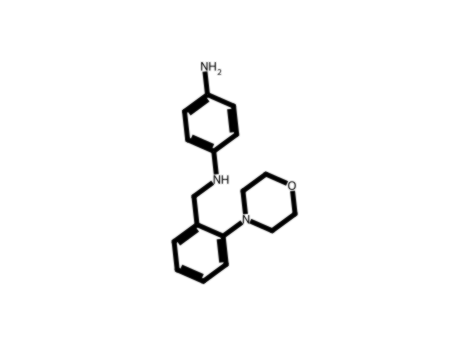 Nc1ccc(NCc2ccccc2N2CCOCC2)cc1